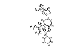 CC[Si](CC)(CC)OC(CI)c1ccc(OCc2ccccc2)c(S(=O)(=O)N(C)C)c1